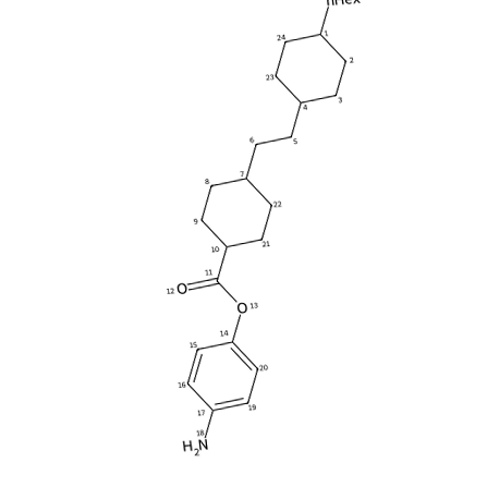 CCCCCCC1CCC(CCC2CCC(C(=O)Oc3ccc(N)cc3)CC2)CC1